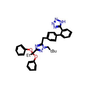 CCC(Oc1ccccc1)(Oc1ccccc1)c1nc(Cc2ccc(-c3ccccc3-c3nnn[nH]3)cc2)n(CC(C)(C)C)n1